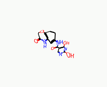 O=C1COc2ccc(NC(=O)c3cnc(O)nc3O)cc2N1